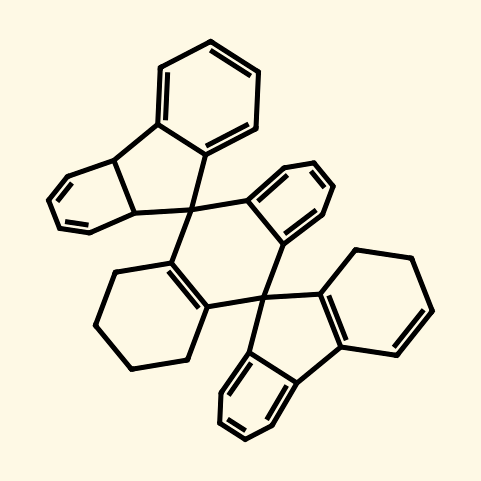 C1=CC2c3ccccc3C3(C4=C(CCCC4)C4(C5=C(C=CCC5)c5ccccc54)c4ccccc43)C2C=C1